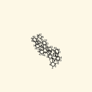 Cc1ccccc1N(c1ccc2c(c1)oc1cc(N(c3ccccc3C)c3cccc4c3oc3c(C5CCCC5)cccc34)c3ccccc3c12)c1cccc2c1oc1c(C3CCCC3)cccc12